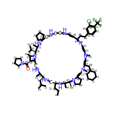 CC[C@H](C)[C@H]1CN[C@@H](CC(C)C)C(C)NCC2[C@@H](C(=O)N3CCCC3)C(C)N2[C@@H](C(C)C)C(C)NC2(CCCC2)CNCCNC=CC(CCc2ccc(C(F)(F)F)c(Cl)c2)=NC=CN(C)C=C(CC2CCCCC2)N(C)C=C2CCCN2[C@@H](C)C(C)N1